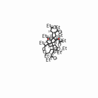 CCOC(=O)C(CCC(=O)CC)(CCC(=O)CC)C(CCC(=O)CC)(CCC(=O)CC)C(CCC(=O)CC)(CCC(=O)CC)C(=O)C(CCCC(=O)CC)(CCC(=O)CC)CCC(=O)CC